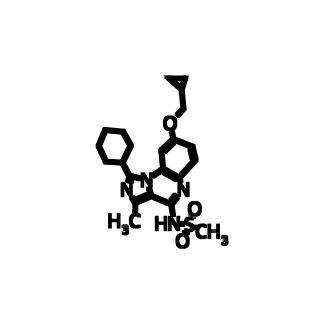 Cc1nc(C2CCCCC2)n2c1c(NS(C)(=O)=O)nc1ccc(OCC3CC3)cc12